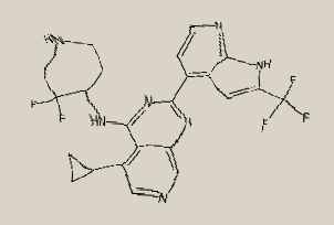 FC(F)(F)c1cc2c(-c3nc(NC4CCNCC4(F)F)c4c(C5CC5)cncc4n3)ccnc2[nH]1